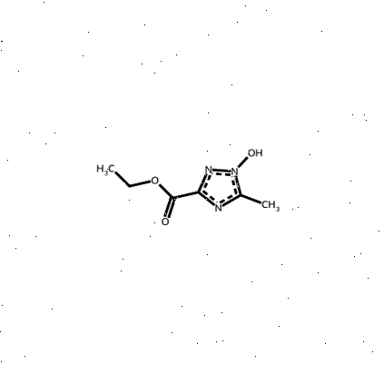 CCOC(=O)c1nc(C)n(O)n1